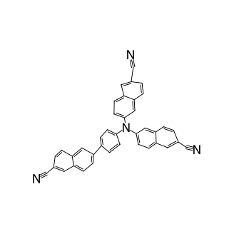 N#Cc1ccc2cc(-c3ccc(N(c4ccc5cc(C#N)ccc5c4)c4ccc5cc(C#N)ccc5c4)cc3)ccc2c1